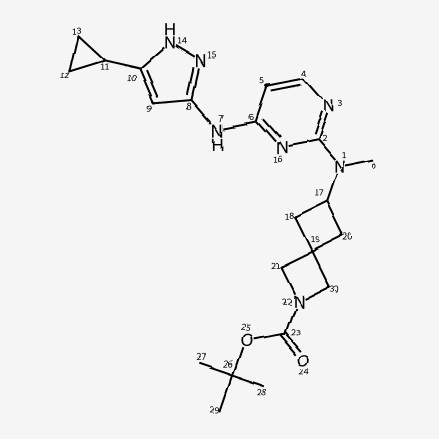 CN(c1nccc(Nc2cc(C3CC3)[nH]n2)n1)C1CC2(C1)CN(C(=O)OC(C)(C)C)C2